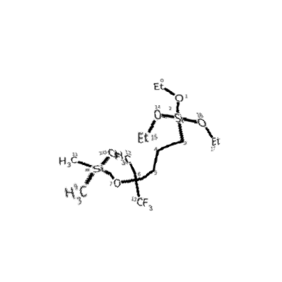 CCO[Si](CCCC(O[Si](C)(C)C)(C(F)(F)F)C(F)(F)F)(OCC)OCC